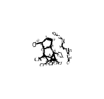 ClC1=C(Cl)C2(Cl)C3C(Cl)C=CC3C1(Cl)C2(Cl)Cl.O=C=NCN=C=O